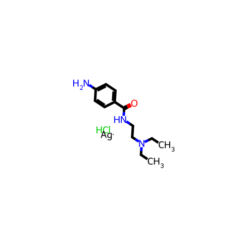 CCN(CC)CCNC(=O)c1ccc(N)cc1.Cl.[Ag]